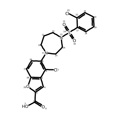 O=C(O)c1cc2c(Cl)c(N3CCCN(S(=O)(=O)c4ccccc4Cl)CC3)ccc2o1